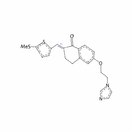 CSc1ccc(/C=C2\CCc3cc(OCCn4ccnc4)ccc3C2=O)s1